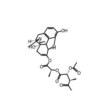 CC(=O)O[C@@H](C(=O)O[C@@H](C)C(=O)OC1=CC[C@@]2(O)[C@H]3Cc4ccc(O)c5c4[C@@]2(CCN3C)[C@H]1O5)[C@@H](C)C(C)=O